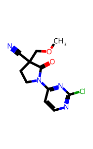 COCC1(C#N)CCN(c2ccnc(Cl)n2)C1=O